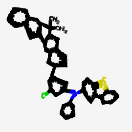 CC1(C)c2cc3ccccc3cc2-c2cc3cc(-c4cc(Cl)cc(N(c5ccccc5)c5ccc6sc7ccccc7c6c5)c4)ccc3cc21